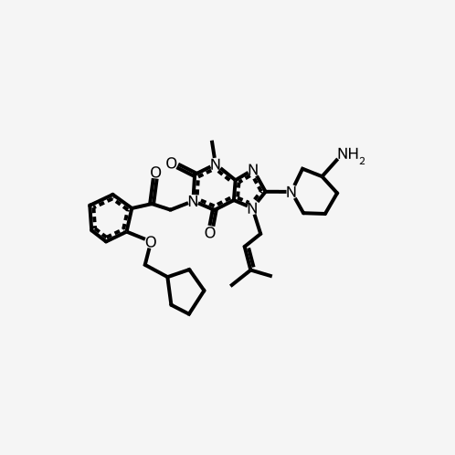 CC(C)=CCn1c(N2CCCC(N)C2)nc2c1c(=O)n(CC(=O)c1ccccc1OCC1CCCC1)c(=O)n2C